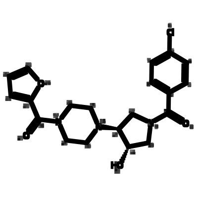 O=C(c1ccc(Cl)cc1)N1C[C@H](O)[C@@H](N2CCN(C(=O)c3ccco3)CC2)C1